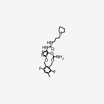 Cc1cc(F)c(COc2nsc(NC(=O)NCCCN3CCCC3)c2OC(N)=O)c(F)c1F